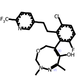 CC1=N/N(C)COC/C(c2c(F)ccc(Cl)c2CCc2ccc(C(F)(F)F)nc2)=C\1O